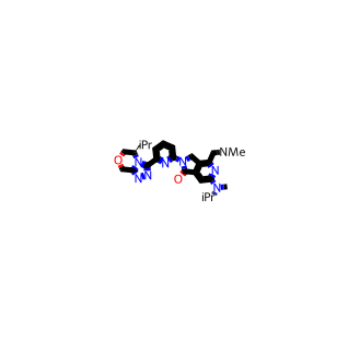 CNCc1nc(N(C)C(C)C)cc2c1CN(c1cccc(-c3nnc4n3[C@@H](C(C)C)COC4)n1)C2=O